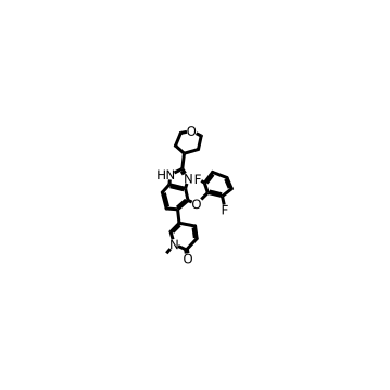 Cn1cc(-c2ccc3[nH]c(C4CCOCC4)nc3c2Oc2c(F)cccc2F)ccc1=O